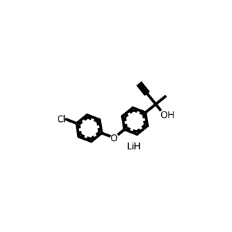 C#CC(C)(O)c1ccc(Oc2ccc(Cl)cc2)cc1.[LiH]